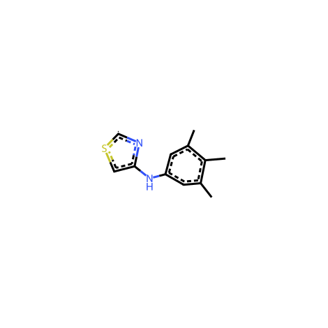 Cc1cc(Nc2cs[c]n2)cc(C)c1C